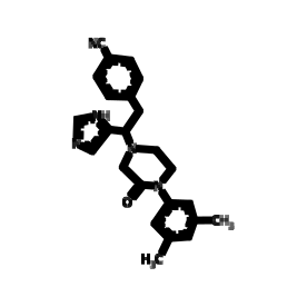 Cc1cc(C)cc(N2CCN(C(Cc3ccc(C#N)cc3)c3cnc[nH]3)CC2=O)c1